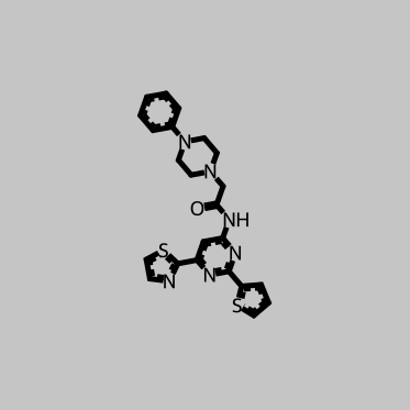 O=C(CN1CCN(c2ccccc2)CC1)Nc1cc(-c2nccs2)nc(-c2cccs2)n1